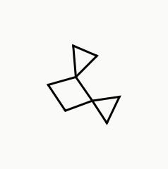 C1CC12CCC21CC1